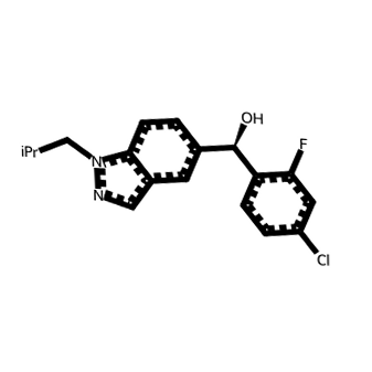 CC(C)Cn1ncc2cc([C@@H](O)c3ccc(Cl)cc3F)ccc21